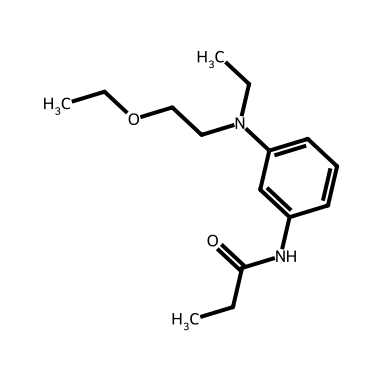 CCOCCN(CC)c1cccc(NC(=O)CC)c1